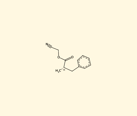 C[C@@H](Cc1ccccc1)C(=O)OCC#N